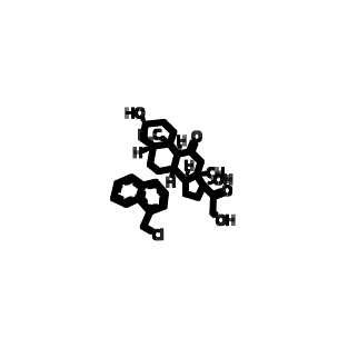 C[C@]12CC[C@@H](O)C[C@H]1CC[C@@H]1[C@@H]2C(=O)C[C@@]2(C)[C@H]1CC[C@]2(O)C(=O)CO.ClCc1cccc2ccccc12